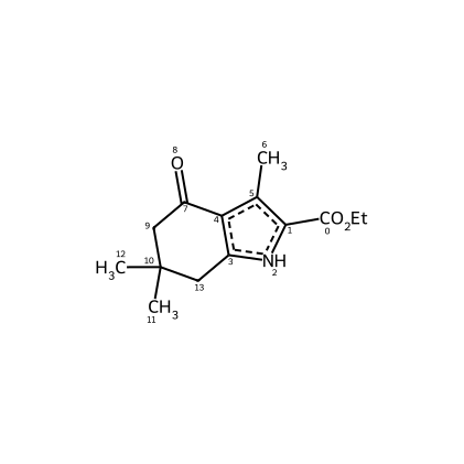 CCOC(=O)c1[nH]c2c(c1C)C(=O)CC(C)(C)C2